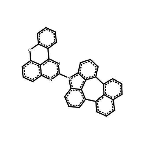 c1ccc2c(c1)Oc1cccc3nc(-n4c5cccc6c5c5c(cccc54)-c4cccc5cccc-6c45)nc-2c13